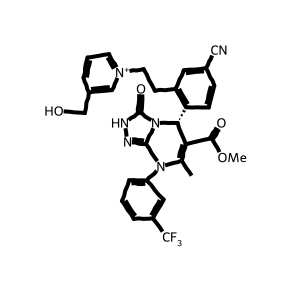 COC(=O)C1=C(C)N(c2cccc(C(F)(F)F)c2)c2n[nH]c(=O)n2[C@@H]1c1ccc(C#N)cc1CC[n+]1cccc(CO)c1